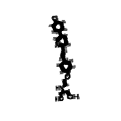 OCC(CO)NCCOc1ccc(C#Cc2ccc(-c3ccc(Cl)cc3)cn2)cc1